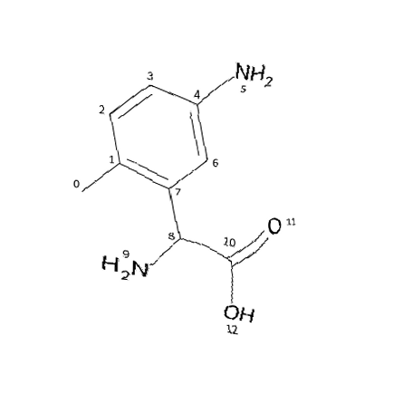 Cc1ccc(N)cc1C(N)C(=O)O